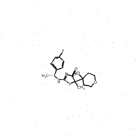 C[C@@H](NC1=NC(=O)C(C)(C2(O)CCOCC2)S1)c1ccc(F)cc1